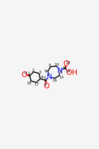 O=C1CCC(C(=O)N2CCCN(C(=O)O)CC2)CC1